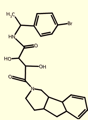 CC(NC(=O)C(O)C(O)C(=O)N1CCC2CC3C=CC=CC3C2C1)c1ccc(Br)cc1